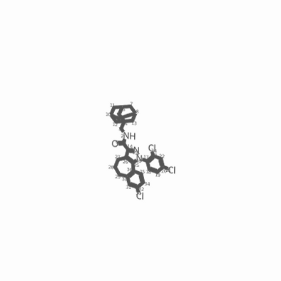 O=C(NCC12CC3CC(CC(C3)C1)C2)c1nn(-c2ccc(Cl)cc2Cl)c2c1CCCc1cc(Cl)ccc1-2